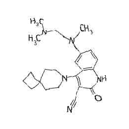 CN(C)CCN(C)c1ccc2[nH]c(=O)c(C#N)c(N3CCC4(CCC4)CC3)c2c1